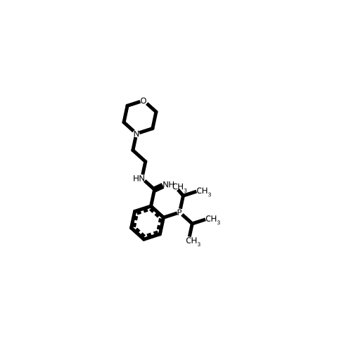 CC(C)P(c1ccccc1C(=N)NCCN1CCOCC1)C(C)C